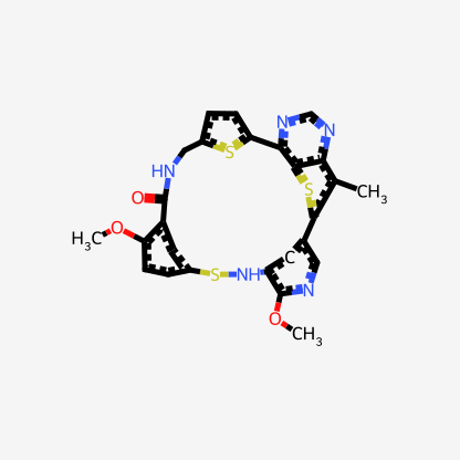 COc1ccc2cc1C(=O)NCc1ccc(s1)-c1ncnc3c(C)c(sc13)-c1cnc(OC)c(c1)NS2